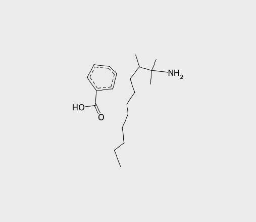 CCCCCCCCC(C)C(C)(C)N.O=C(O)c1ccccc1